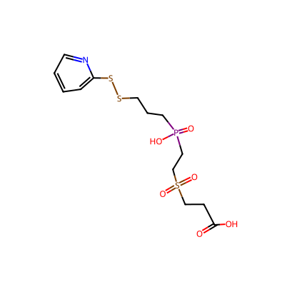 O=C(O)CCS(=O)(=O)CCP(=O)(O)CCCSSc1ccccn1